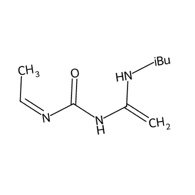 C=C(NC(=O)/N=C\C)NC(C)CC